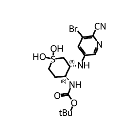 CC(C)(C)OC(=O)N[C@@H]1CCS(O)(O)C[C@@H]1Nc1cnc(C#N)c(Br)c1